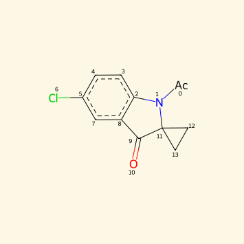 CC(=O)N1c2ccc(Cl)cc2C(=O)C12CC2